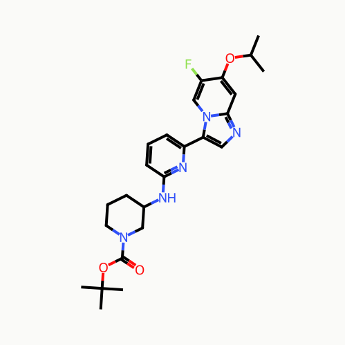 CC(C)Oc1cc2ncc(-c3cccc(NC4CCCN(C(=O)OC(C)(C)C)C4)n3)n2cc1F